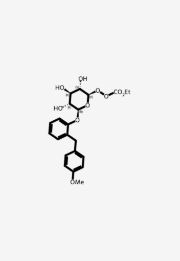 CCOC(=O)OO[C@H]1O[C@@H](Oc2ccccc2Cc2ccc(OC)cc2)[C@H](O)[C@@H](O)[C@@H]1O